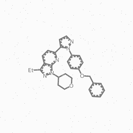 CCc1nn(C2CCOCC2)c2nc(-c3ccnn3-c3ccc(OCc4ccccc4)cc3)ccc12